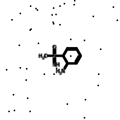 CS(=N)(=O)C1C=CC=CC1N